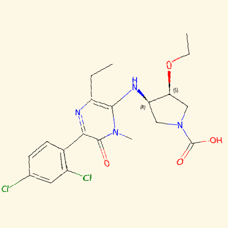 CCO[C@H]1CN(C(=O)O)C[C@H]1Nc1c(CC)nc(-c2ccc(Cl)cc2Cl)c(=O)n1C